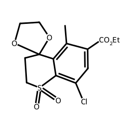 CCOC(=O)c1cc(Cl)c2c(c1C)C1(CCS2(=O)=O)OCCO1